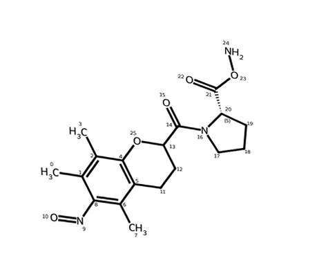 Cc1c(C)c2c(c(C)c1N=O)CCC(C(=O)N1CCC[C@H]1C(=O)ON)O2